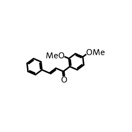 COc1ccc(C(=O)C=Cc2ccccc2)c(OC)c1